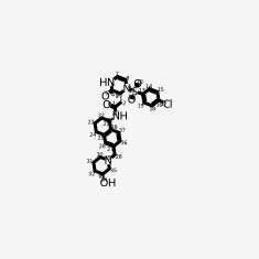 O=C(C[C@@H]1C(=O)NC=CN1S(=O)(=O)c1ccc(Cl)cc1)N[C@@H]1CCCc2cc(CN3CCC[C@@H](O)C3)ccc21